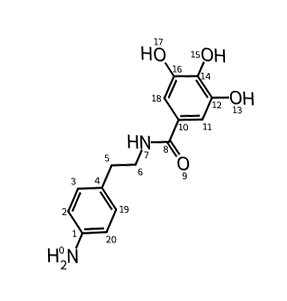 Nc1ccc(CCNC(=O)c2cc(O)c(O)c(O)c2)cc1